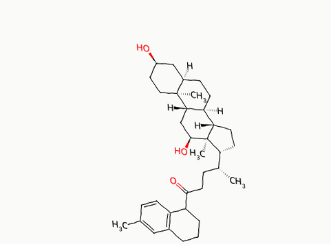 Cc1ccc2c(c1)CCCC2C(=O)CC[C@@H](C)[C@H]1CC[C@H]2[C@@H]3CC[C@@H]4C[C@H](O)CC[C@]4(C)[C@H]3C[C@H](O)[C@]12C